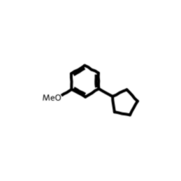 COc1cccc([C]2CCCC2)c1